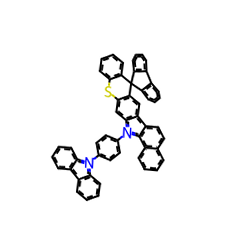 c1ccc2c(c1)Sc1cc3c(cc1C21c2ccccc2-c2ccccc21)c1ccc2ccccc2c1n3-c1ccc(-n2c3ccccc3c3ccccc32)cc1